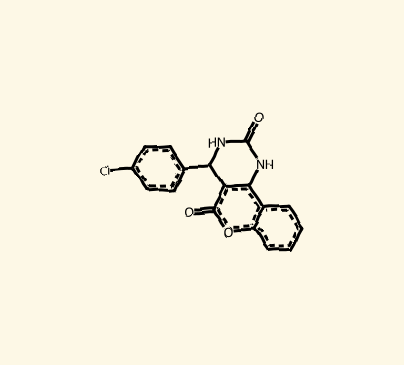 O=C1Nc2c(c(=O)oc3ccccc23)C(c2ccc(Cl)cc2)N1